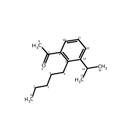 C[CH]CCCc1c(C(C)=O)cccc1C(C)C